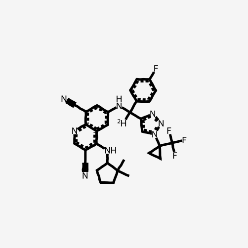 [2H]C(Nc1cc(C#N)c2ncc(C#N)c(NC3CCCC3(C)C)c2c1)(c1ccc(F)cc1)c1cn(C2(C(F)(F)F)CC2)nn1